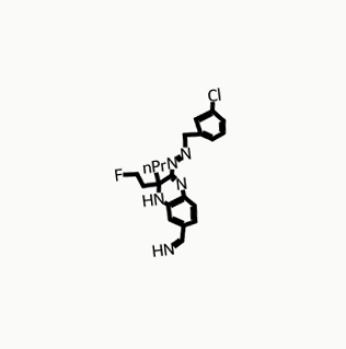 CCCC1(CCF)Nc2cc(C=N)ccc2N=C1N=NCc1cccc(Cl)c1